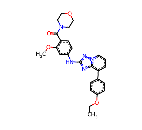 CCOc1ccc(-c2cccn3nc(Nc4ccc(C(=O)N5CCOCC5)c(OC)c4)nc23)cc1